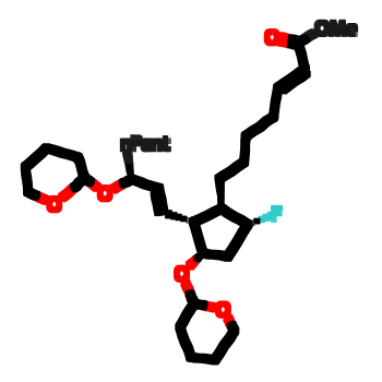 CCCCC[C@@H](/C=C/[C@@H]1[C@@H](CCCC/C=C/C(=O)OC)[C@H](F)C[C@H]1OC1CCCCO1)OC1CCCCO1